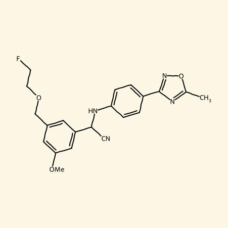 COc1cc(COCCF)cc(C(C#N)Nc2ccc(-c3noc(C)n3)cc2)c1